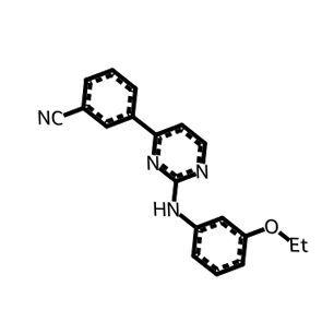 CCOc1cccc(Nc2nccc(-c3cccc(C#N)c3)n2)c1